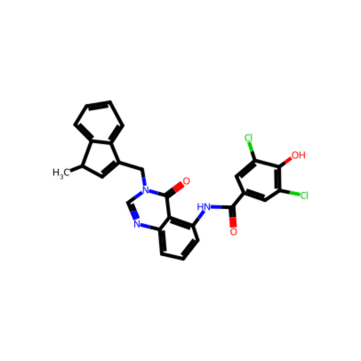 CC1C=C(Cn2cnc3cccc(NC(=O)c4cc(Cl)c(O)c(Cl)c4)c3c2=O)c2ccccc21